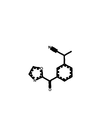 CC(C#N)c1cccc(C(=O)c2ncco2)c1